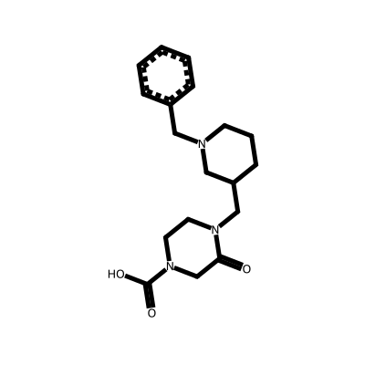 O=C(O)N1CCN(CC2CCCN(Cc3ccccc3)C2)C(=O)C1